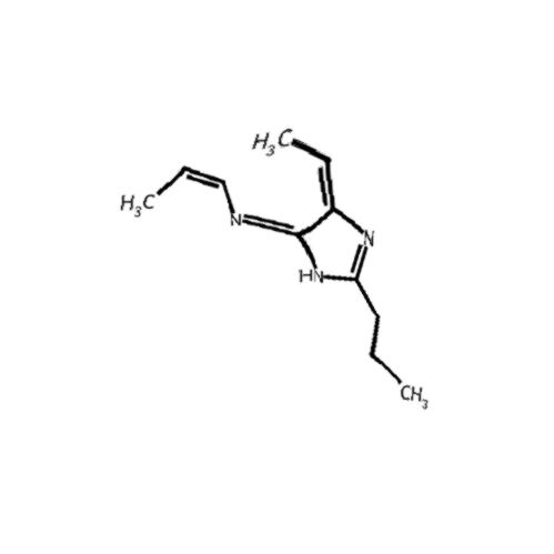 C\C=C/N=C1/NC(CCC)=N/C1=C/C